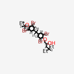 CCC(C)(CC)CC(O)COc1c(Br)cc(C(C)(C)c2cc(Br)c(OC(C)(CC)CC)c(Br)c2)cc1Br